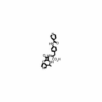 CC(Nc1c(N[C@@H](Cc2ccc(NC(=O)c3ccncc3)cc2)C(=O)O)c(=O)c1=O)c1cccnc1